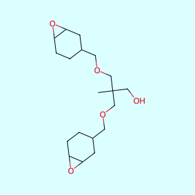 CC(CO)(COCC1CCC2OC2C1)COCC1CCC2OC2C1